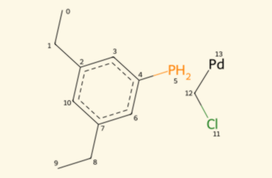 CCc1cc(P)cc(CC)c1.Cl[CH2][Pd]